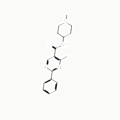 Cc1nc(-c2ccccc2)ncc1C(=O)NC1CCN(C)CC1